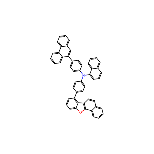 c1ccc2c(N(c3ccc(-c4cc5ccccc5c5ccccc45)cc3)c3ccc(-c4cccc5oc6c7ccccc7ccc6c45)cc3)cccc2c1